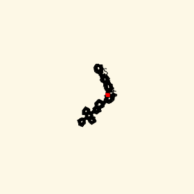 c1ccc(-c2c3ccccc3c(-c3ccc4cc(-c5ccc6sc7cc8cc9sc%10ccccc%10c9cc8cc7c6c5)ccc4c3)c3ccccc23)cc1